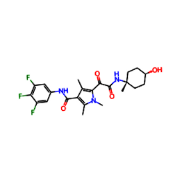 Cc1c(C(=O)Nc2cc(F)c(F)c(F)c2)c(C)n(C)c1C(=O)C(=O)N[C@]1(C)CC[C@@H](O)CC1